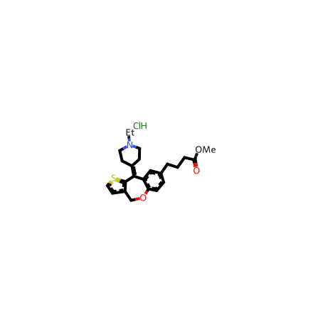 CCN1CCC(=C2c3cc(CCCC(=O)OC)ccc3OCc3ccsc32)CC1.Cl